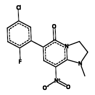 CN1CCn2c1c([N+](=O)[O-])cc(-c1cc(Cl)ccc1F)c2=O